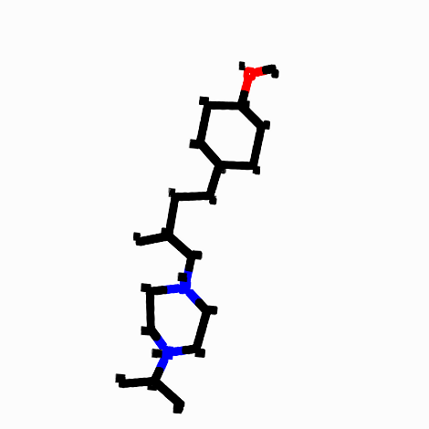 COC1CCC(CCC(C)CN2CCN(C(C)C)CC2)CC1